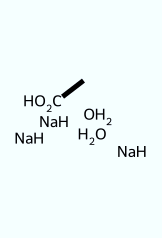 CC(=O)O.O.O.[NaH].[NaH].[NaH]